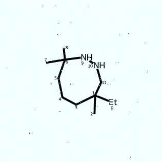 CCC1(C)CCCC(C)(C)NNC1